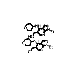 CCn1ncc2c(NC3CCOCC3)c(CCl)cnc21.CCn1ncc2c(NC3CCOCC3)c(CO)cnc21